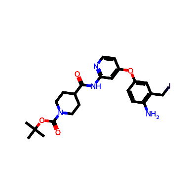 CC(C)(C)OC(=O)N1CCC(C(=O)Nc2cc(Oc3ccc(N)c(CI)c3)ccn2)CC1